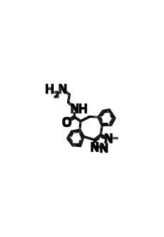 Cn1nnc2c1-c1ccccc1CC(C(=O)NCCN)c1ccccc1-2